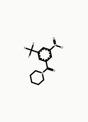 O=C(c1cc([N+](=O)[O-])cc(C(F)(F)F)c1)N1CCCCC1